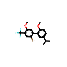 COc1ccc(C(C)C)cc1-c1cc(OC)c(C(F)(F)F)cc1Br